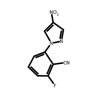 N#Cc1c(F)cccc1-n1cc([N+](=O)[O-])cn1